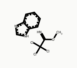 COC(=N)C(Cl)(Cl)Cl.c1ccc2[nH]cnc2c1